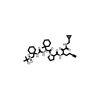 C#CCCC(NC(=O)C1CCCN1C(=O)[C@@H](NC(=O)NC1(CS(=O)(=O)C(C)(C)CC)CCCCC1)C1(C)CCCCC1)C(=O)C(=O)NCC1CC1